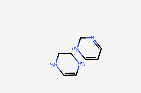 C1=CNCCN1.C1=CNCN=C1